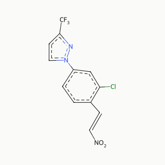 O=[N+]([O-])/C=C/c1ccc(-n2ccc(C(F)(F)F)n2)cc1Cl